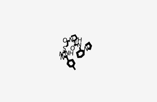 Cc1ccc(-c2nnc(SCC(=O)N3CCC[C@H]3C(=O)Nc3ccccc3-n3cccc3)[nH]2)cc1